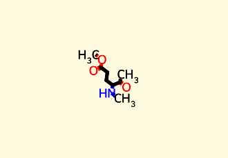 CNC(CCC(=O)OC)C(C)=O